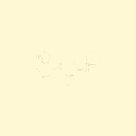 O=C(NN1CCCCC1)c1sccc1Nc1ccnc2[nH]ccc12